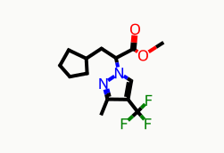 COC(=O)C(CC1CCCC1)n1cc(C(F)(F)F)c(C)n1